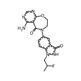 CC(F)Cn1[nH]c(=O)c2cc(N3CCOc4ncnc(N)c4C3=O)ccc21